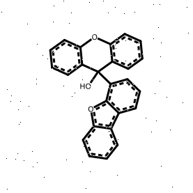 OC1(c2cccc3c2oc2ccccc23)c2ccccc2Oc2ccccc21